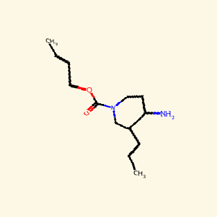 CCCCOC(=O)N1CCC(N)C(CCC)C1